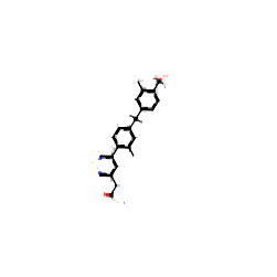 CCC(CC)(c1ccc(-c2cncc(CC(=O)OC)c2)c(C)c1)c1ccc(C(O)(C(F)(F)F)C(F)(F)F)c(C)c1